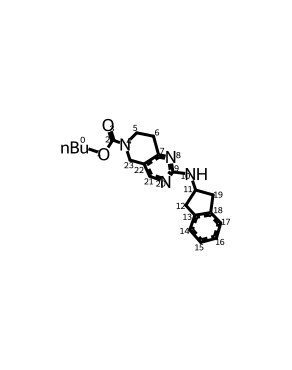 CCCCOC(=O)N1CCc2nc(NC3Cc4ccccc4C3)ncc2C1